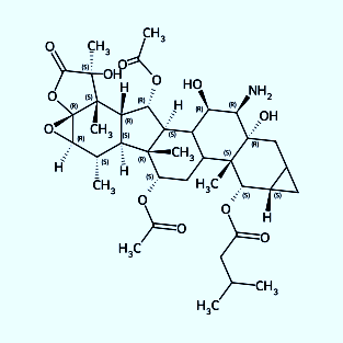 CC(=O)O[C@H]1[C@@H]2[C@H]([C@H](C)[C@H]3O[C@]34OC(=O)[C@@](C)(O)[C@]24C)[C@@]2(C)[C@@H](OC(C)=O)CC3C([C@@H](O)[C@@H](N)[C@@]4(O)CC5C[C@@H]5[C@H](OC(=O)CC(C)C)[C@]34C)[C@H]12